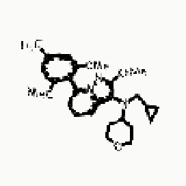 COc1cc(C)cc(OC)c1-c1cccc2c(N(CC3CC3)C3CCOCC3)c(OC)nn12